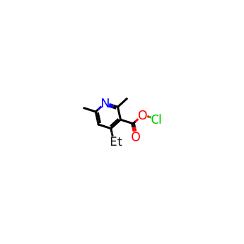 CCc1cc(C)nc(C)c1C(=O)OCl